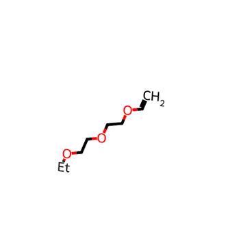 [CH2]COCCOCCOC=C